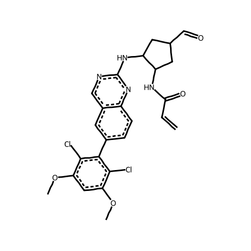 C=CC(=O)NC1CC(C=O)CC1Nc1ncc2cc(-c3c(Cl)c(OC)cc(OC)c3Cl)ccc2n1